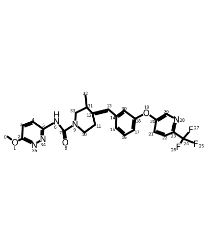 COc1ccc(NC(=O)N2CCC(=Cc3cccc(Oc4ccc(C(F)(F)F)nc4)c3)C(C)C2)nn1